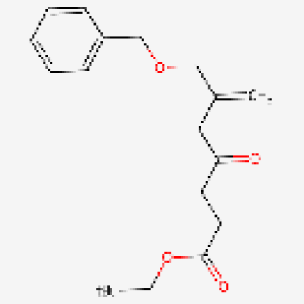 C=C(COCc1ccccc1)CC(=O)CCC(=O)OCC(C)(C)C